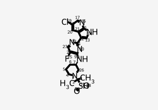 CC(C)(N1CCC[C@@H](Nc2nc(-c3c[nH]c4ncc(Cl)cc34)ncc2F)C1)[SH](=O)=O